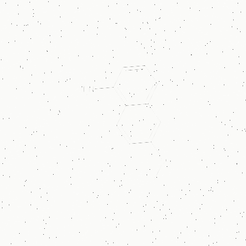 COc1ccc2c(N)cccc2c1